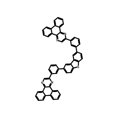 c1cc(-c2ccc3sc4ccc(-c5cccc(-c6cnc7c8ccccc8c8ccccc8c7n6)c5)cc4c3c2)cc(-c2cnc3c4ccccc4c4ccccc4c3n2)c1